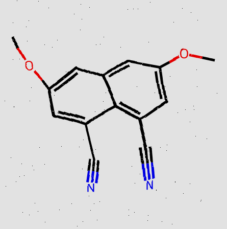 COc1cc(C#N)c2c(C#N)cc(OC)cc2c1